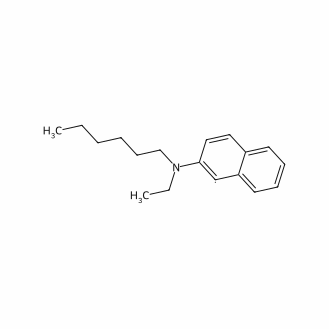 CCCCCCN(CC)c1[c]c2ccccc2cc1